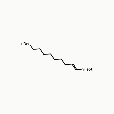 CCCCCCCC=CCCCCCCCCCCCCCCCCC